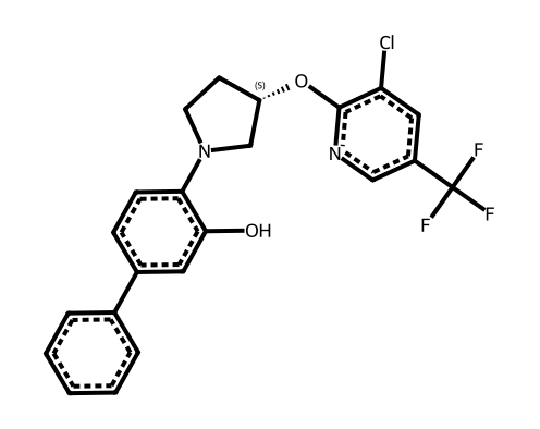 Oc1cc(-c2ccccc2)ccc1N1CC[C@H](Oc2ncc(C(F)(F)F)cc2Cl)C1